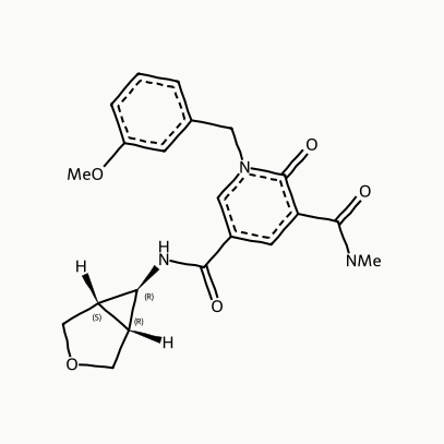 CNC(=O)c1cc(C(=O)N[C@H]2[C@@H]3COC[C@@H]32)cn(Cc2cccc(OC)c2)c1=O